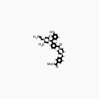 C=CCN1C[C@@H](C)N(C(c2cccc(O)c2)c2cccc(C(=O)N3CCN(Cc4ccc(C(=O)OC)cc4)CC3)c2)C[C@H]1C